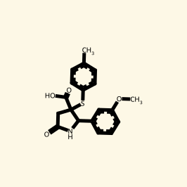 COc1cccc(C2NC(=O)CC2(Sc2ccc(C)cc2)C(=O)O)c1